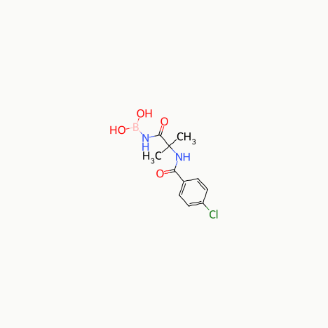 CC(C)(NC(=O)c1ccc(Cl)cc1)C(=O)NB(O)O